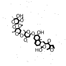 CO[C@H]1C[C@H](O[C@@H]2[C@H](C)O[C@@H](O[C@H]3[C@@H](OC)C[C@H](O[C@@H]4CC5=CC[C@@H](C(=O)O)[C@H](CCC(=O)c6ccoc6C)[C@@]5(C)C[C@H]4O)O[C@@H]3C)C[C@@H]2OC)O[C@H](C)[C@H]1O